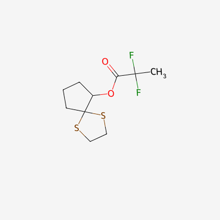 CC(F)(F)C(=O)OC1CCCC12SCCS2